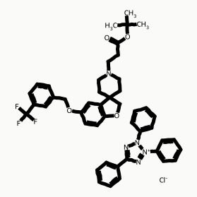 CC(C)(C)OC(=O)CCN1CCC2(CC1)COc1ccc(OCc3cccc(C(F)(F)F)c3)cc12.[Cl-].c1ccc(-c2nn(-c3ccccc3)[n+](-c3ccccc3)n2)cc1